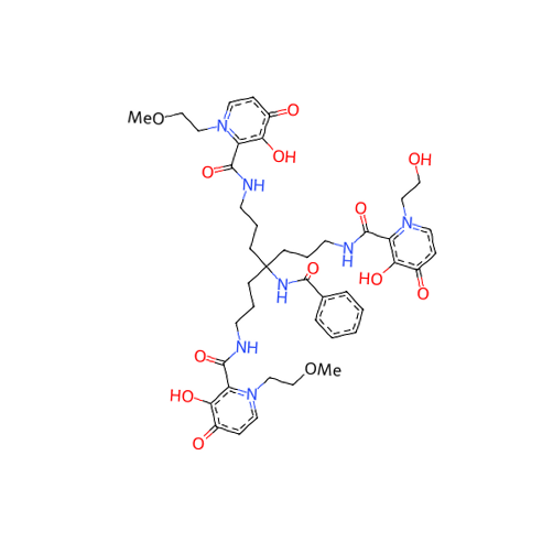 COCCn1ccc(=O)c(O)c1C(=O)NCCCC(CCCNC(=O)c1c(O)c(=O)ccn1CCO)(CCCNC(=O)c1c(O)c(=O)ccn1CCOC)NC(=O)c1ccccc1